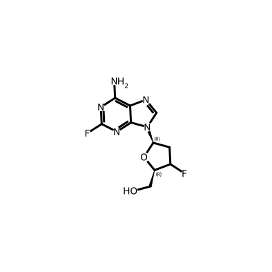 Nc1nc(F)nc2c1ncn2[C@H]1CC(F)[C@@H](CO)O1